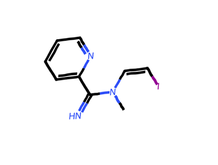 CN(/C=C\I)C(=N)c1ccccn1